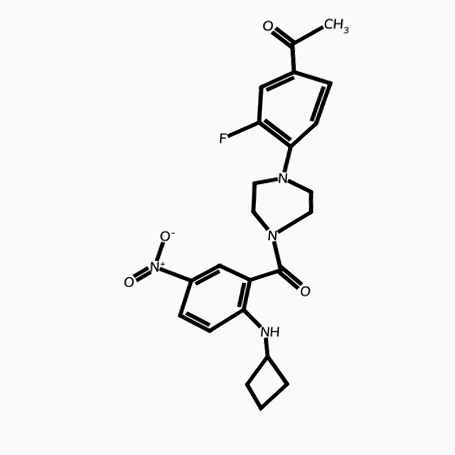 CC(=O)c1ccc(N2CCN(C(=O)c3cc([N+](=O)[O-])ccc3NC3CCC3)CC2)c(F)c1